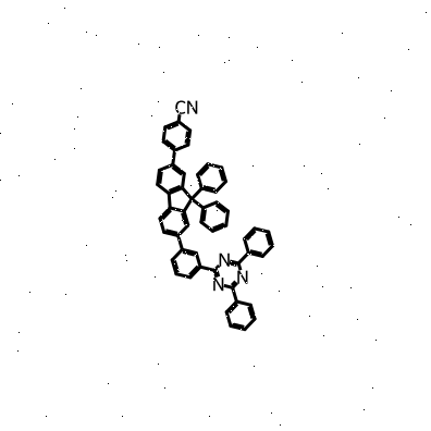 N#Cc1ccc(-c2ccc3c(c2)C(c2ccccc2)(c2ccccc2)c2cc(-c4cccc(-c5nc(-c6ccccc6)nc(-c6ccccc6)n5)c4)ccc2-3)cc1